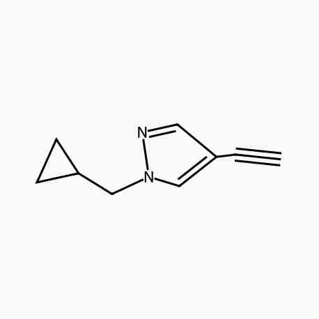 C#Cc1cnn(CC2CC2)c1